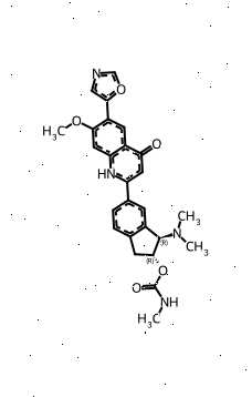 CNC(=O)O[C@@H]1Cc2ccc(-c3cc(=O)c4cc(-c5cnco5)c(OC)cc4[nH]3)cc2[C@H]1N(C)C